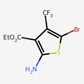 CCOC(=O)c1c(N)sc(Br)c1C(F)(F)F